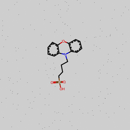 O=S(=O)(O)CCCCN1c2ccccc2Oc2ccccc21